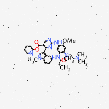 C=CC(=O)Nc1cc(Nc2ncc(C(=O)Oc3ccccn3)c(-c3cn(C)c4ccccc34)n2)c(OC)cc1N(C)CCN(C)C